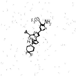 Nc1ncc(-c2cn(C34CC(C3)[C@@H](N3CCC(F)(F)CC3)C4)c(C(O)C3CC3)n2)cc1OC(F)(F)F